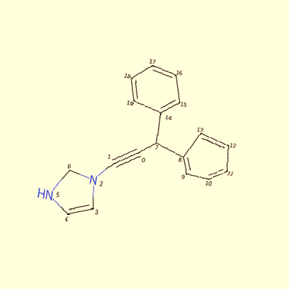 C(#CN1C=CNC1)C(c1ccccc1)c1ccccc1